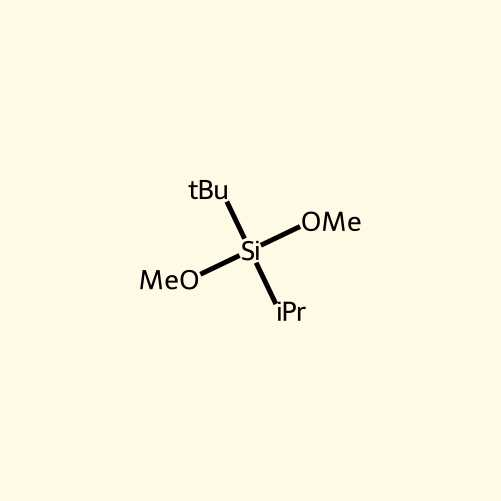 CO[Si](OC)(C(C)C)C(C)(C)C